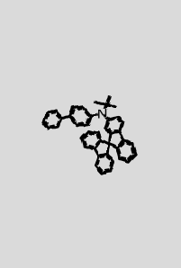 CC(C)(C)N(c1ccc(-c2ccccc2)cc1)c1ccc2c(c1)C1(c3ccccc3-c3ccccc31)c1ccccc1-2